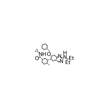 CCC(CC)Nc1ncc2cc(-c3cc(C(=O)NC4CC4)ccc3C)c(OCc3ccccc3)cc2n1